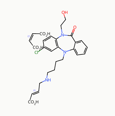 O=C(O)/C=C/CNCCCCN1c2ccccc2C(=O)N(CCO)c2ccc(Cl)cc21.O=C(O)/C=C\C(=O)O